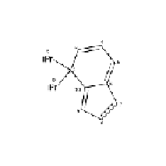 CC(C)C1(C(C)C)C=CC=C2C=CC=C21